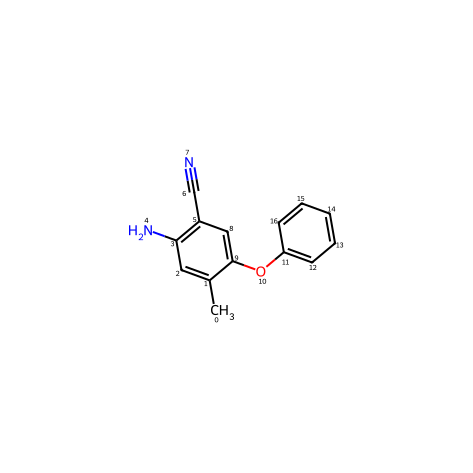 Cc1cc(N)c(C#N)cc1Oc1ccccc1